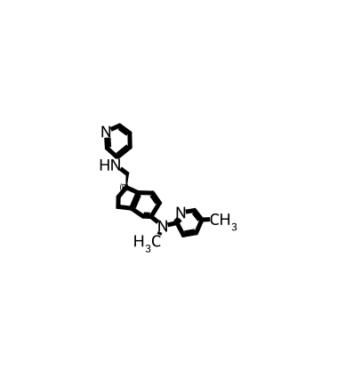 Cc1ccc(N(C)c2ccc3c(c2)CC[C@H]3CNc2cccnc2)nc1